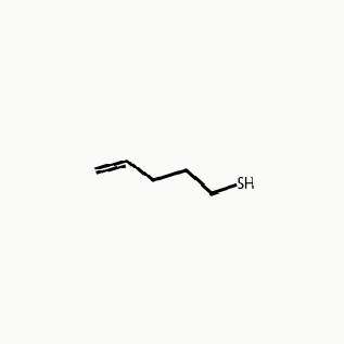 C=CCCCS